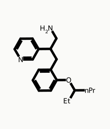 CCCC(CC)Oc1ccccc1CC(CN)c1cccnc1